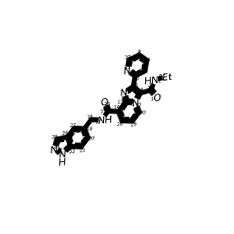 CCNC(=O)c1c(-c2ccccn2)nc2c(C(=O)NCc3ccc4[nH]ncc4c3)cccn12